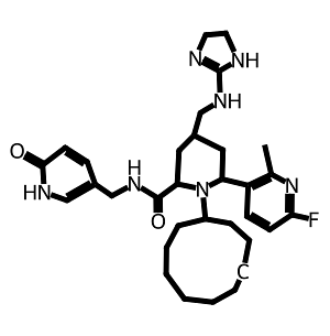 Cc1nc(F)ccc1C1CC(CNC2=NCCN2)CC(C(=O)NCc2ccc(=O)[nH]c2)N1C1CCCCCCCCC1